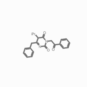 CC(C)C1C(=O)N(CC(=O)c2ccccc2)C(=O)N=C1Cc1ccccc1